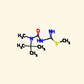 CSC(=N)NC(=O)N(C)C(C)(C)C